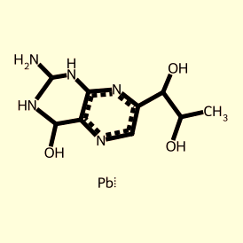 CC(O)C(O)c1cnc2c(n1)NC(N)NC2O.[Pb]